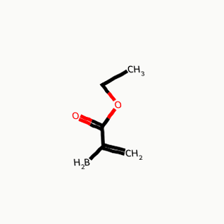 BC(=C)C(=O)OCC